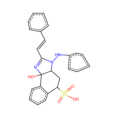 O=S(=O)(O)C1CC2N(Nc3ccccc3)C(C=Cc3ccccc3)=NC2(O)c2ccccc21